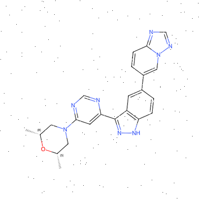 C[C@@H]1CN(c2cc(-c3n[nH]c4ccc(-c5ccc6ncnn6c5)cc34)ncn2)C[C@H](C)O1